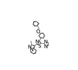 Cc1nn2ccccc2c1-c1nc(-c2cccc(OCc3ccccc3)c2)c(C2=NCC=N2)s1